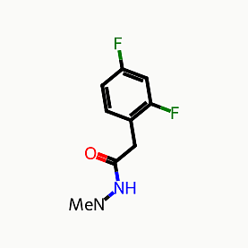 CNNC(=O)Cc1ccc(F)cc1F